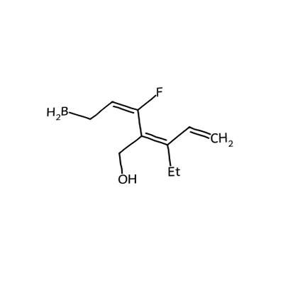 BC/C=C(F)\C(CO)=C(/C=C)CC